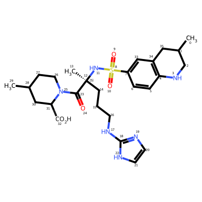 CC1CNc2ccc(S(=O)(=O)N[C@@](C)(CCCNc3ncc[nH]3)C(=O)N3CCC(C)CC3C(=O)O)cc2C1